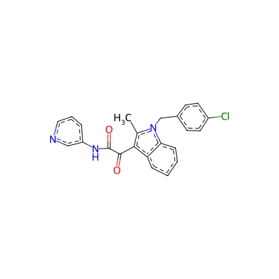 Cc1c(C(=O)C(=O)Nc2cccnc2)c2ccccc2n1Cc1ccc(Cl)cc1